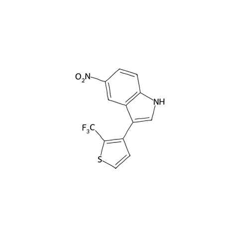 O=[N+]([O-])c1ccc2[nH]cc(-c3ccsc3C(F)(F)F)c2c1